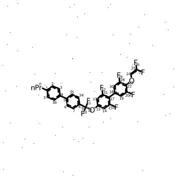 CCCc1ccc(-c2ccc(C(F)(F)Oc3cc(F)c(-c4cc(F)c(OC=C(F)F)c(F)c4)c(F)c3)cc2)cc1